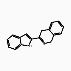 c1ccc2c(c1)CC(c1cc3ccccc3[nH]1)=NO2